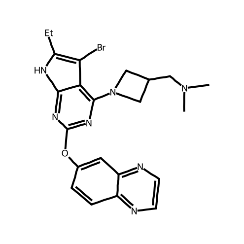 CCc1[nH]c2nc(Oc3ccc4nccnc4c3)nc(N3CC(CN(C)C)C3)c2c1Br